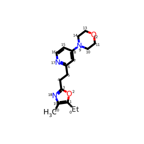 CCc1oc(CCc2cc(N3CCOCC3)c[c]n2)nc1C